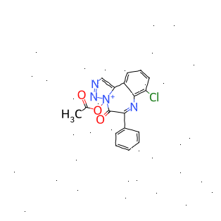 CC(=O)O[N+]12N=NC=C1c1cccc(Cl)c1N=C(c1ccccc1)C2=O